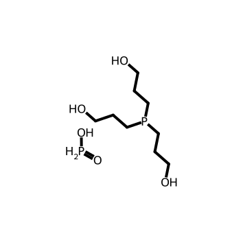 O=[PH2]O.OCCCP(CCCO)CCCO